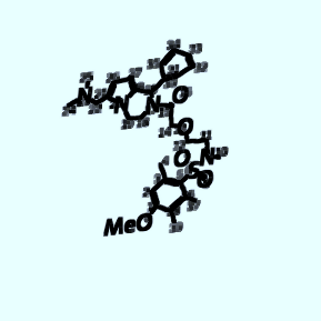 COc1cc(C)c(S(=O)(=O)N(C)CCOCC(=O)N2CCn3c(CN(C)C)ccc3C2c2ccccc2)c(C)c1C